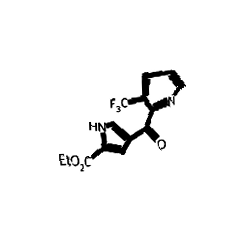 CCOC(=O)c1cc(C(=O)c2ncccc2C(F)(F)F)c[nH]1